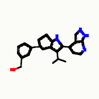 CC(C)c1c(-c2ccnc3[nH]ncc23)[nH]c2ccc(-c3cccc(CO)c3)cc12